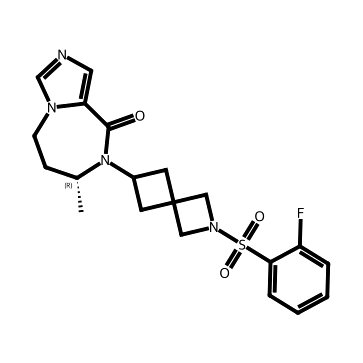 C[C@@H]1CCn2cncc2C(=O)N1C1CC2(C1)CN(S(=O)(=O)c1ccccc1F)C2